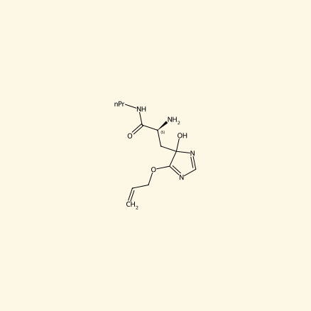 C=CCOC1=NC=NC1(O)C[C@H](N)C(=O)NCCC